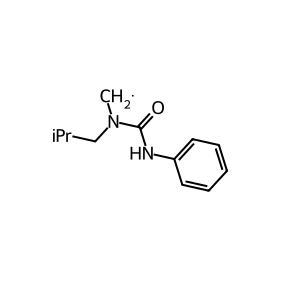 [CH2]N(CC(C)C)C(=O)Nc1ccccc1